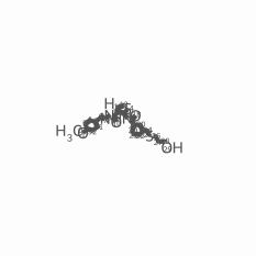 COc1ccc(C=NNC(=O)c2ccsc2NC(=O)c2cccc(CSCCCO)c2)cc1